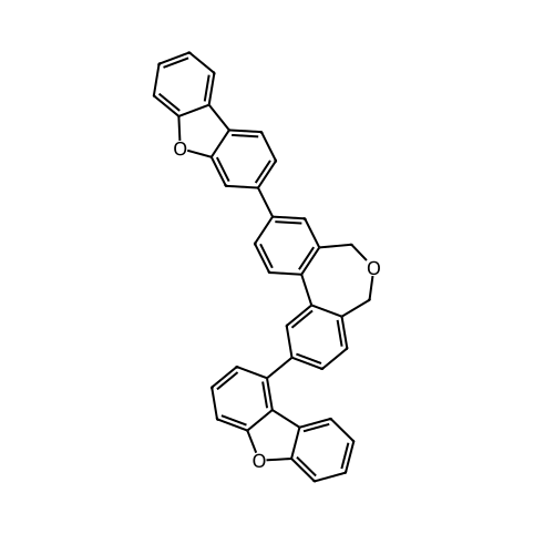 c1ccc2c(c1)oc1cc(-c3ccc4c(c3)COCc3ccc(-c5cccc6oc7ccccc7c56)cc3-4)ccc12